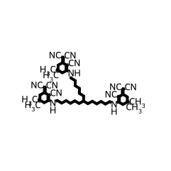 CC1(C)CC(NCCCCCCC(CCCCCCNC2=C(C#N)C(=C(C#N)C#N)CC(C)(C)C2)CCCCCCNC2=C(C#N)C(=C(C#N)C#N)CC(C)(C)C2)=C(C#N)C(=C(C#N)C#N)C1